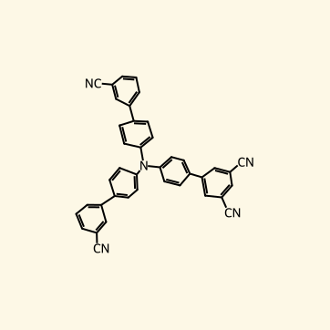 N#Cc1cccc(-c2ccc(N(c3ccc(-c4cccc(C#N)c4)cc3)c3ccc(-c4cc(C#N)cc(C#N)c4)cc3)cc2)c1